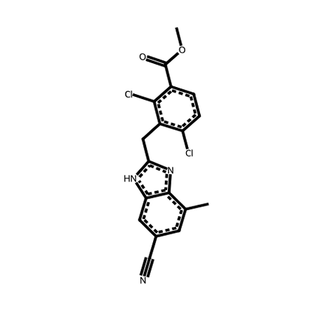 COC(=O)c1ccc(Cl)c(Cc2nc3c(C)cc(C#N)cc3[nH]2)c1Cl